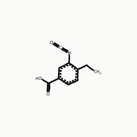 CCc1ccc(C(=O)O)cc1N=C=O